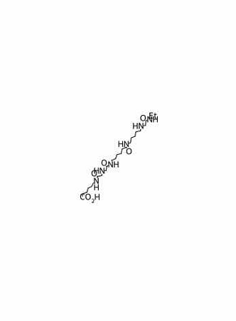 CCNC(=O)CNCCCCCNC(=O)CCCCCNC(=O)CNCC(=O)NCCCCCC(=O)O